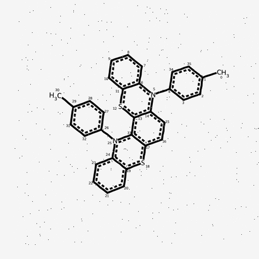 Cc1ccc(-n2c3ccccc3sc3c2ccc2sc4ccccc4n(-c4ccc(C)cc4)c23)cc1